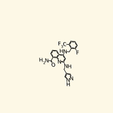 NC(=O)c1cccc2c(NCc3c(F)cccc3C(F)(F)F)cc(NCc3cn[nH]c3)nc12